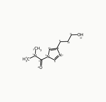 CN(C)C(=O)n1cnc(CCCO)c1